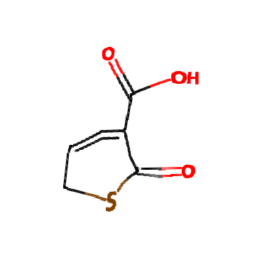 O=C(O)C1=CCSC1=O